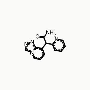 NC(=O)C(c1ccccn1)c1cccn2cnnc12